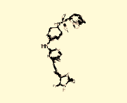 O=C1NC(=O)/C(=C/c2ccnc(NC3CCC(NS(=O)(=O)c4ccco4)CC3)n2)S1